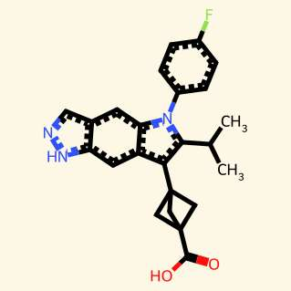 CC(C)c1c(C23CC(C(=O)O)(C2)C3)c2cc3[nH]ncc3cc2n1-c1ccc(F)cc1